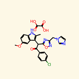 COc1ccc2[nH]c(C)c(C(C(=O)c3ccc(Cl)cc3)c3nc(Cn4ccnc4)no3)c2c1.O=C(O)C(=O)O